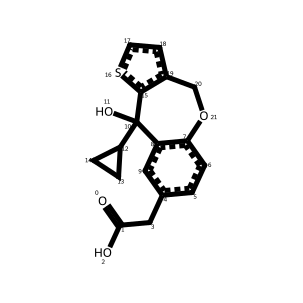 O=C(O)Cc1ccc2c(c1)C(O)(C1CC1)c1sccc1CO2